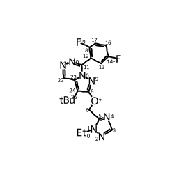 CCn1ncnc1COc1nn2c(-c3cc(F)ccc3F)nncc2c1C(C)(C)C